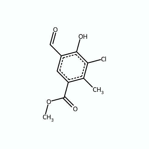 COC(=O)c1cc(C=O)c(O)c(Cl)c1C